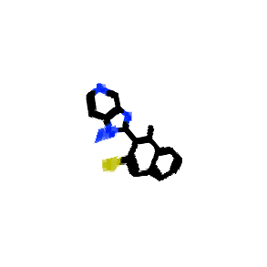 Cc1c(-c2nc3cnccc3[nH]2)c(S)cc2ccccc12